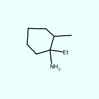 CCC1(N)CCCCC1C